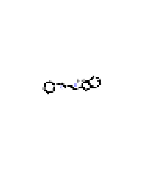 C(/C=C/c1cc2ccccc2[nH]1)=C\c1ccncc1